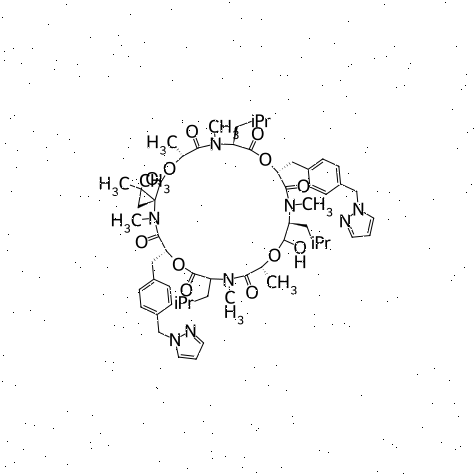 CC(C)CC1C(=O)O[C@H](Cc2ccc(Cn3cccn3)cc2)C(=O)N(C)[C@@]2(CC2(C)C)C(=O)O[C@H](C)C(=O)N(C)[C@@H](CC(C)C)C(=O)O[C@H](Cc2ccc(Cn3cccn3)cc2)C(=O)N(C)[C@@H](CC(C)C)C(O)O[C@H](C)C(=O)N1C